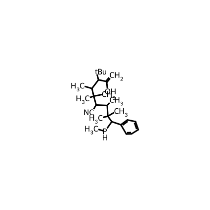 C=C(O)C(C(C)C(C)(C)C(C#N)C(C)C(C)(C)C(PC)c1ccccc1)C(C)(C)C